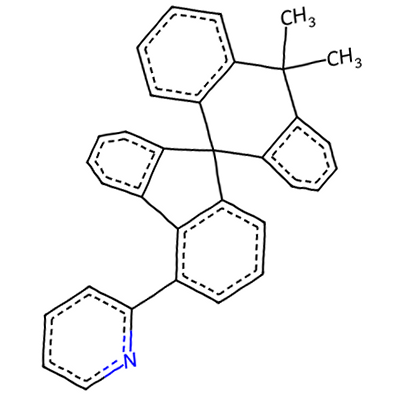 CC1(C)c2ccccc2C2(c3ccccc3-c3c(-c4ccccn4)cccc32)c2ccccc21